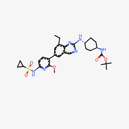 CCc1cc(-c2ccc(NS(=O)(=O)C3CC3)nc2OC)cc2cnc(N[C@H]3CC[C@H](NC(=O)OC(C)(C)C)CC3)nc12